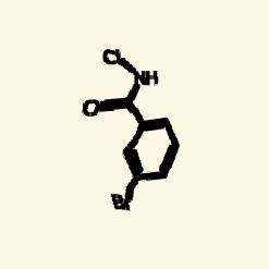 O=C(NCl)c1cccc(Br)c1